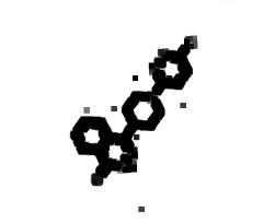 O=c1[nH]nc(C2CCN(c3ccc(Cl)nn3)CC2)c2ccccc12